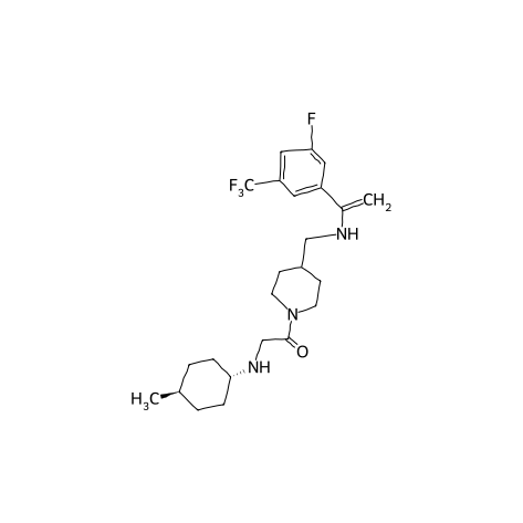 C=C(NCC1CCN(C(=O)CN[C@H]2CC[C@H](C)CC2)CC1)c1cc(F)cc(C(F)(F)F)c1